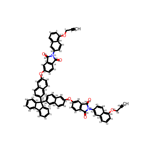 C#CCOc1cccc2cc(N3C(=O)c4ccc(Oc5ccc6cc(C7(c8ccc9cc(Oc%10ccc%11c(c%10)C(=O)N(c%10ccc%12c(OCC#C)cccc%12c%10)C%11=O)ccc9c8)c8ccccc8-c8ccccc87)ccc6c5)cc4C3=O)ccc12